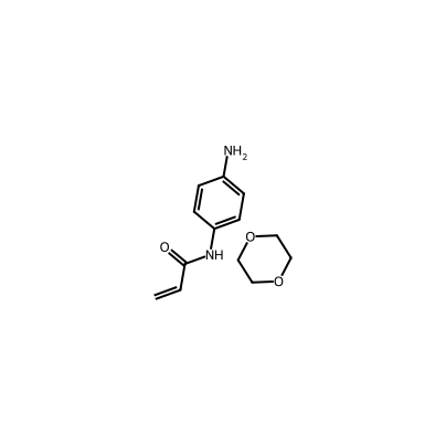 C1COCCO1.C=CC(=O)Nc1ccc(N)cc1